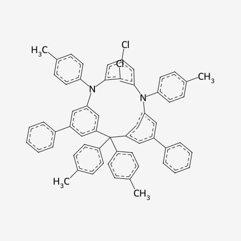 Cc1ccc(N2c3cc(-c4ccccc4)cc(c3)C(c3ccc(C)cc3)(c3ccc(C)cc3)c3cc(-c4ccccc4)cc(c3)N(c3ccc(C)cc3)c3cc(Cl)cc2c3Cl)cc1